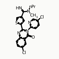 CCCN(C)C(=N)c1csc(-c2nc3ccc(Cl)cc3c(=O)n2-c2ccc(Cl)cn2)c1